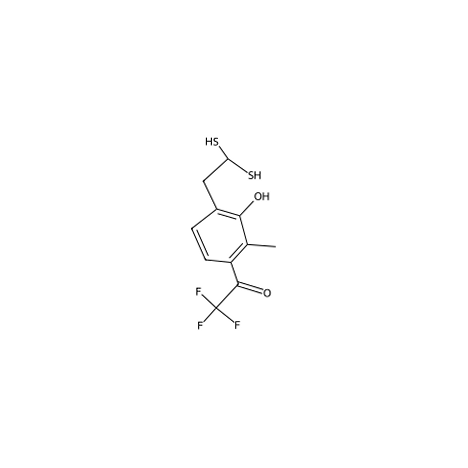 Cc1c(C(=O)C(F)(F)F)ccc(CC(S)S)c1O